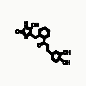 O=C(C=Cc1ccc(O)c(O)c1)c1ccccc1Cc1sc(=O)[nH]c1O